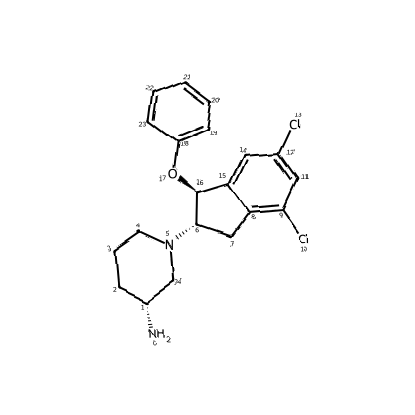 N[C@@H]1CCCN([C@H]2Cc3c(Cl)cc(Cl)cc3[C@@H]2Oc2ccccc2)C1